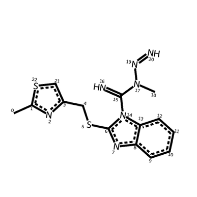 Cc1nc(CSc2nc3ccccc3n2C(=N)N(C)N=N)cs1